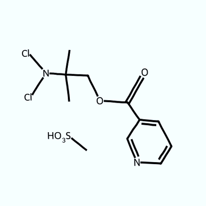 CC(C)(COC(=O)c1cccnc1)N(Cl)Cl.CS(=O)(=O)O